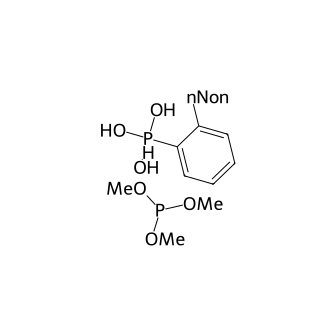 CCCCCCCCCc1ccccc1[PH](O)(O)O.COP(OC)OC